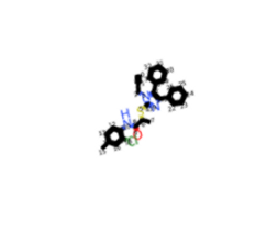 C#CCn1c(SC(C)C(=O)Nc2ccc(C)cc2Cl)nc(-c2ccccc2)c1-c1ccccc1